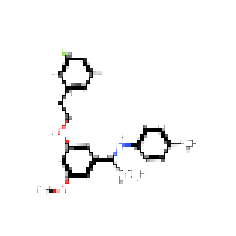 CCOc1cc(OCCc2cccc(F)c2)cc(C(Nc2ccc(C#N)cc2)C(=O)O)c1